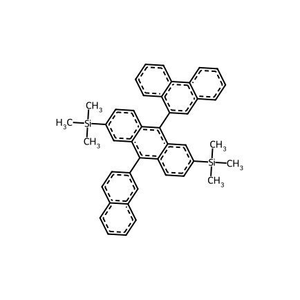 C[Si](C)(C)c1ccc2c(-c3cc4ccccc4c4ccccc34)c3cc([Si](C)(C)C)ccc3c(-c3ccc4ccccc4c3)c2c1